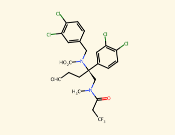 CN(C[C@](CCC=O)(c1ccc(Cl)c(Cl)c1)N(Cc1ccc(Cl)c(Cl)c1)C(=O)O)C(=O)CC(F)(F)F